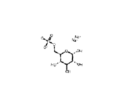 O=P([O-])([O-])OC[C@H]1O[C@H](O)[C@H](O)[C@@H](O)[C@@H]1O.[Na+].[Na+]